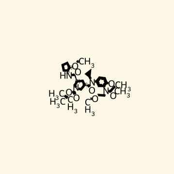 CCOCCN1C(=O)C(C)(C)Oc2ccc(N(C(=O)[C@@H]3C[C@H](C(=O)N[C@H]4CCC[C@@H]4OCC)CN(C(=O)OC(C)(C)C)C3)C3CC3)cc21